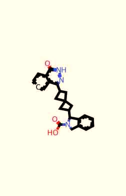 O=C(O)N1Cc2ccccc2C1C1CC2(CC(c3n[nH]c(=O)c4ccccc34)C2)C1